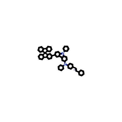 C(=C\c1ccc(N(c2ccccc2)c2ccc3c(c2)c2cc(-c4ccc5c(c4)C4(c6ccccc6-c6ccccc64)c4ccccc4-5)ccc2n3-c2ccccc2)cc1)/c1ccccc1